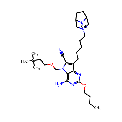 CCCCOc1nc(N)c2c(n1)c(CCCCCN1CC3CCC(C1)N3C)c(C#N)n2COCC[Si](C)(C)C